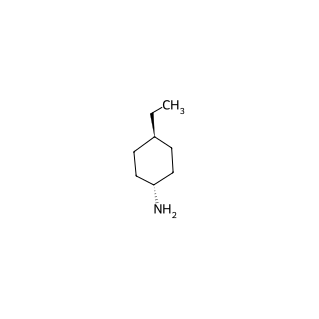 CC[C@H]1CC[C@H](N)CC1